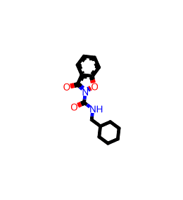 O=C(NCC1CCCCC1)n1oc2ccccc2c1=O